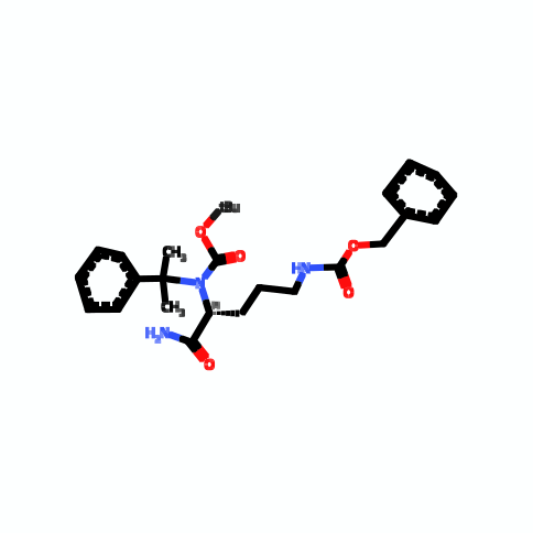 CC(C)(C)OC(=O)N([C@H](CCCNC(=O)OCc1ccccc1)C(N)=O)C(C)(C)c1ccccc1